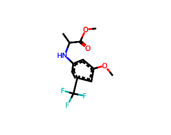 COC(=O)C(C)Nc1cc(OC)cc(C(F)(F)F)c1